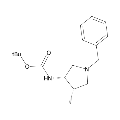 C[C@H]1CN(Cc2ccccc2)C[C@H]1NC(=O)OC(C)(C)C